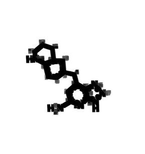 Nc1cc(Cc2ccc3c(c2)CCCN3)c2nn[nH]c2n1